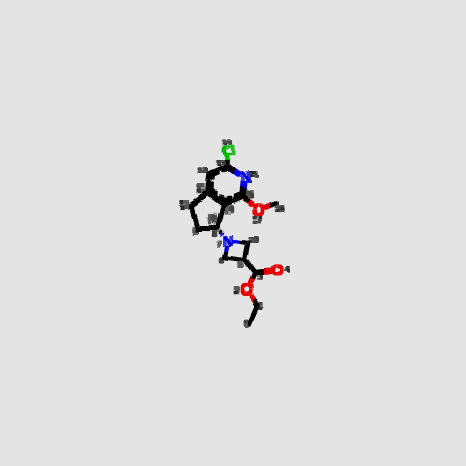 CCOC(=O)C1CN([C@@H]2CCc3cc(Cl)nc(OC)c32)C1